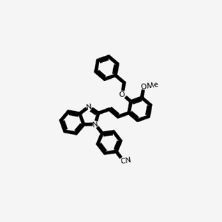 COc1cccc(/C=C/c2nc3ccccc3n2-c2ccc(C#N)cc2)c1OCc1ccccc1